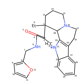 CCC1(C(C)C(=O)NCc2ccco2)CCCN2CCc3c([nH]c4ccccc34)C21